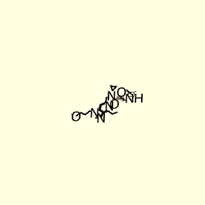 CCc1nc(CN(C(=O)[C@H]2CN[C@@H](C)CO2)C2CC2)cc2c1ncn2CCCOC